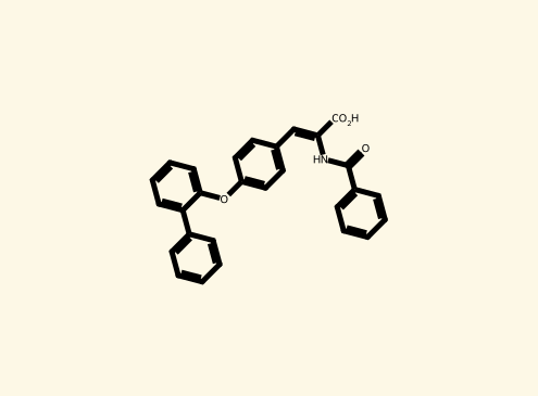 O=C(O)C(=Cc1ccc(Oc2ccccc2-c2ccccc2)cc1)NC(=O)c1ccccc1